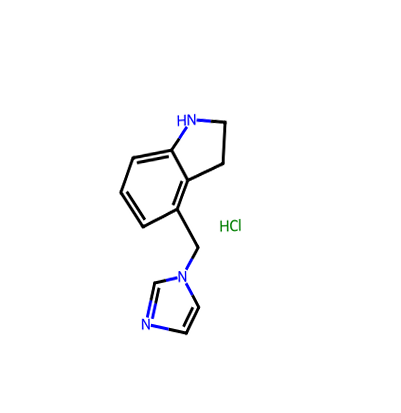 Cl.c1cc(Cn2ccnc2)c2c(c1)NCC2